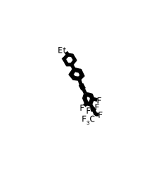 CCC1CCC(c2ccc(C#Cc3cc(F)c(C(F)(F)C(F)C(F)(F)F)c(F)c3)cc2)CC1